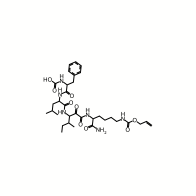 C=CCOC(=O)NCCCCC(NC(=O)C(=O)C(NC(=O)C(CC(C)C)NC(=O)C(Cc1ccccc1)NC(=O)O)C(C)CC)C(N)=O